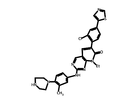 CCn1c(=O)c(-c2ccc(-c3cncs3)cc2Cl)cc2cnc(Nc3ccc(N4CCNCC4)c(C)c3)nc21